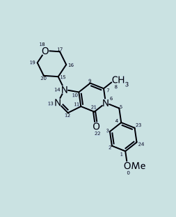 COc1ccc(Cn2c(C)cc3c(cnn3C3CCOCC3)c2=O)cc1